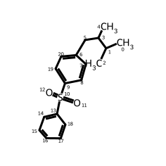 CC(C)C(C)Cc1ccc(S(=O)(=O)c2ccccc2)cc1